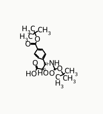 CC(C)(C)OC(=O)N[C@@H](c1ccc(C(=O)OC(C)(C)C)cc1)[C@@H](O)C(=O)O